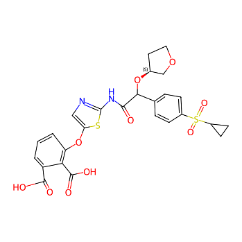 O=C(O)c1cccc(Oc2cnc(NC(=O)C(O[C@H]3CCOC3)c3ccc(S(=O)(=O)C4CC4)cc3)s2)c1C(=O)O